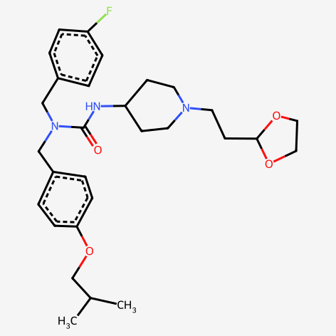 CC(C)COc1ccc(CN(Cc2ccc(F)cc2)C(=O)NC2CCN(CCC3OCCO3)CC2)cc1